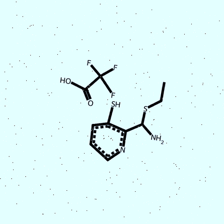 CCSC(N)c1ncccc1S.O=C(O)C(F)(F)F